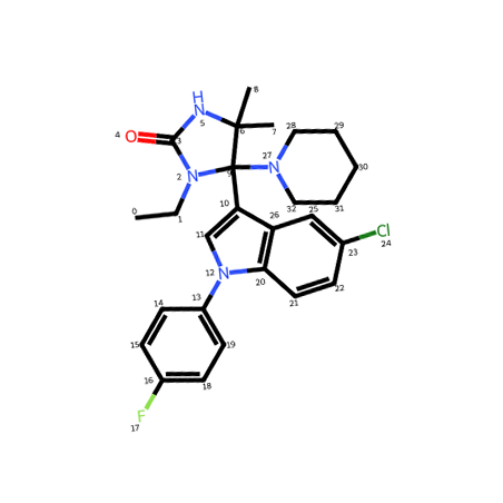 CCN1C(=O)NC(C)(C)C1(c1cn(-c2ccc(F)cc2)c2ccc(Cl)cc12)N1CCCCC1